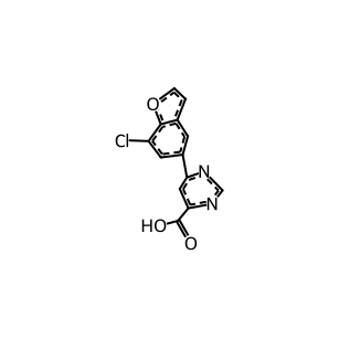 O=C(O)c1cc(-c2cc(Cl)c3occc3c2)ncn1